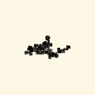 CCOCCCNC(=O)CCC(=O)NC(C)C(=O)NC(C)C(=O)NCCNC(=O)C(Cc1ccccc1)NC(=O)C(C)C(OC)C1CCCN1C(=O)CC(OC)C(C(C)CC)N(C)C(=O)C(NC(=O)C(C(C)C)N(C)C)C(C)C